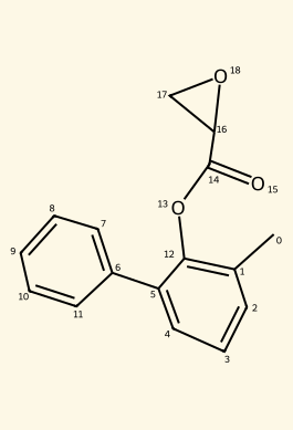 Cc1cccc(-c2ccccc2)c1OC(=O)C1CO1